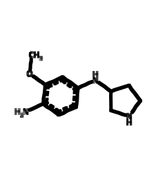 COc1cc(NC2CCNC2)ccc1N